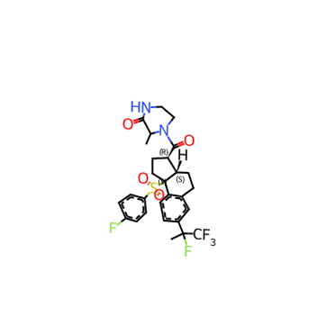 CC1C(=O)NCCN1C(=O)[C@@H]1CC[C@@]2(S(=O)(=O)c3ccc(F)cc3)c3ccc(C(C)(F)C(F)(F)F)cc3CC[C@@H]12